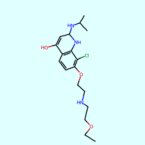 CCOCCNCCOc1ccc2c(c1Cl)NC(NC(C)C)C=C2O